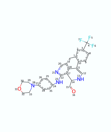 Cc1cc(C(F)(F)F)ccc1C1=CNC(C=O)c2c1ccnc2Nc1ccc(N2CCOCC2)cc1